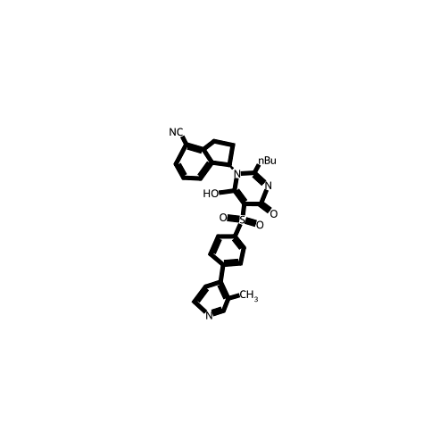 CCCCc1nc(=O)c(S(=O)(=O)c2ccc(-c3ccncc3C)cc2)c(O)n1[C@H]1CCc2c(C#N)cccc21